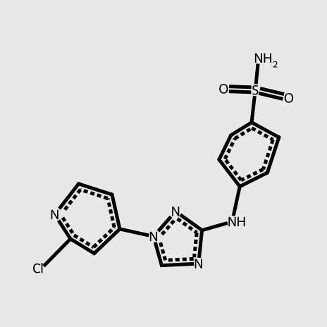 NS(=O)(=O)c1ccc(Nc2ncn(-c3ccnc(Cl)c3)n2)cc1